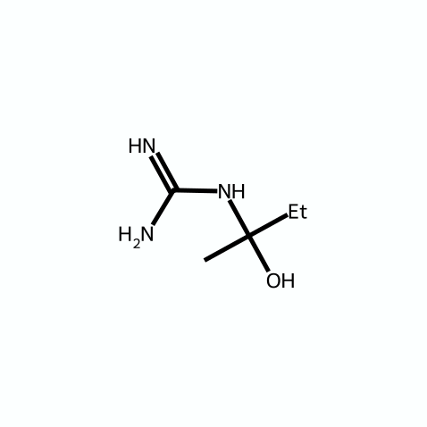 CCC(C)(O)NC(=N)N